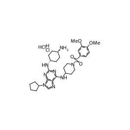 COc1ccc(S(=O)(=O)N2CCC(Nc3nc(N[C@H]4CC[C@H](N)CC4)nc4c3ncn4C3CCCC3)CC2)cc1OC.Cl.Cl